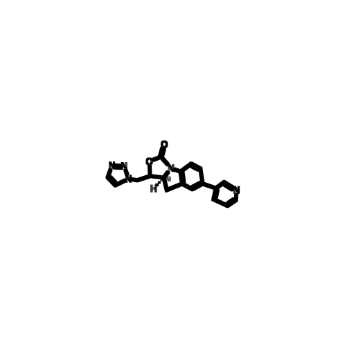 O=C1OC(Cn2ccnn2)[C@@H]2Cc3cc(-c4cccnc4)ccc3N12